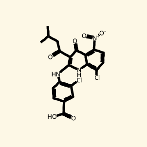 CC(C)CC(=O)c1c(Nc2ccc(C(=O)O)cc2Cl)[nH]c2c(Cl)ccc([N+](=O)[O-])c2c1=O